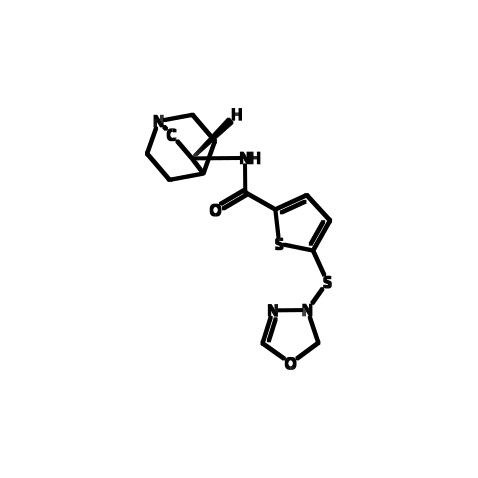 O=C(N[C@H]1CN2CCC1CC2)c1ccc(SN2COC=N2)s1